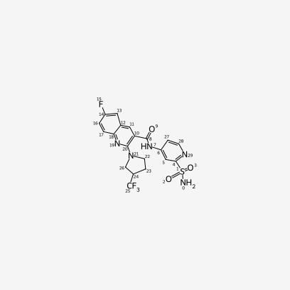 NS(=O)(=O)c1cc(NC(=O)c2cc3cc(F)ccc3nc2N2CCC(C(F)(F)F)C2)ccn1